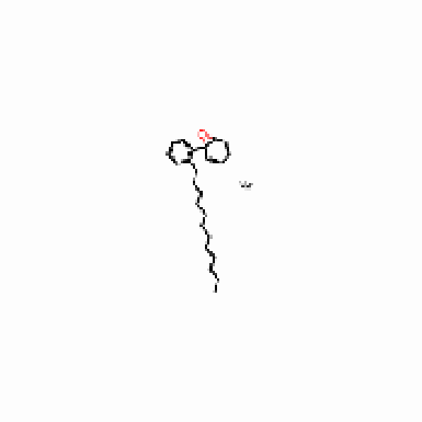 CCCCCCCCCCCCc1ccccc1C12C=CC=CC1O2.[Na]